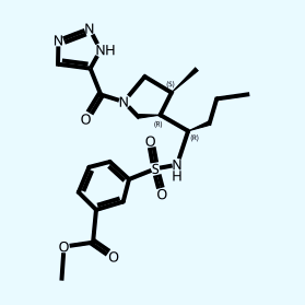 CCC[C@@H](NS(=O)(=O)c1cccc(C(=O)OC)c1)[C@H]1CN(C(=O)c2cnn[nH]2)C[C@H]1C